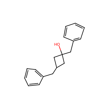 OC1(Cc2ccccc2)CC(Cc2ccccc2)C1